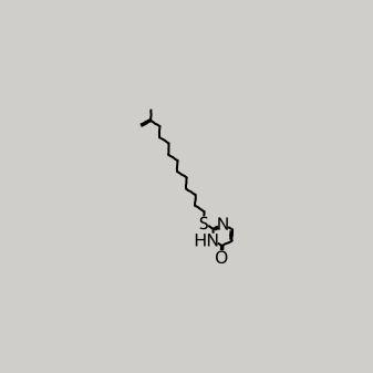 C=C(C)CCCCCCCCCCCSc1nccc(=O)[nH]1